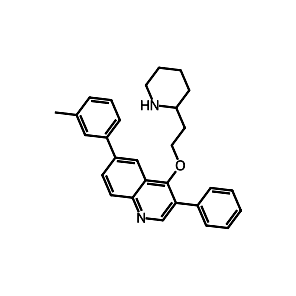 Cc1cccc(-c2ccc3ncc(-c4ccccc4)c(OCCC4CCCCN4)c3c2)c1